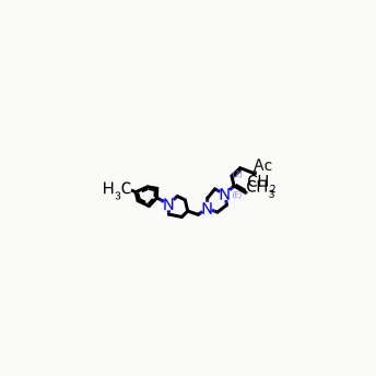 C=C(/C=C\C(=C/C)N1CCN(CC2CCN(c3ccc(C)cc3)CC2)CC1)C(C)=O